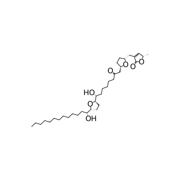 CCCCCCCCCCCC[C@@H](O)[C@H]1CC[C@H]([C@H](O)CCCCCC(=O)C[C@H]2CC[C@H](CC3=C[C@H](C)OC3=O)O2)O1